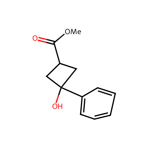 COC(=O)C1CC(O)(c2ccccc2)C1